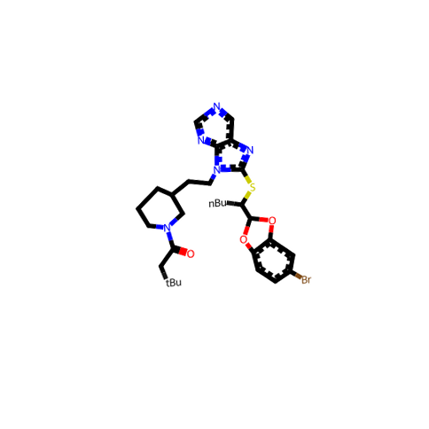 CCCCC(Sc1nc2cncnc2n1CCC1CCCN(C(=O)CC(C)(C)C)C1)C1Oc2ccc(Br)cc2O1